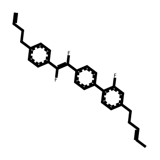 C=CCCc1ccc(/C(F)=C(\F)c2ccc(-c3ccc(CC/C=C/C)cc3F)cc2)cc1